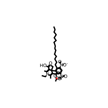 CCCCCCCCCCCCCCCc1c([N+](=O)[O-])cc([N+](=O)[O-])c(OCC)c1C1(CC)C(C(=O)O)=C(C)N(CC)C(C)=C1C(=O)O